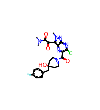 CN(C)C(=O)C(=O)c1c2nc(C(=O)N3CCC(O)(Cc4ccc(F)cc4)CC3)c(Cl)nc2nn1C